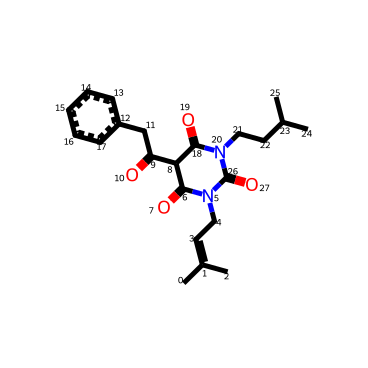 CC(C)=CCN1C(=O)C(C(=O)Cc2ccccc2)C(=O)N(CCC(C)C)C1=O